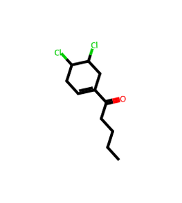 CCCCC(=O)C1=CCC(Cl)C(Cl)C1